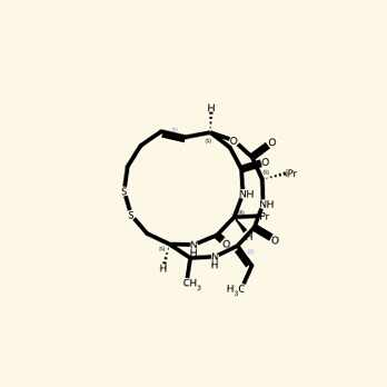 C/C=C1\NC(C)[C@H]2CSSCC/C=C/[C@H](CC(=O)N[C@H](C(C)C)C(=O)N2)OC(=O)[C@H](C(C)C)NC1=O